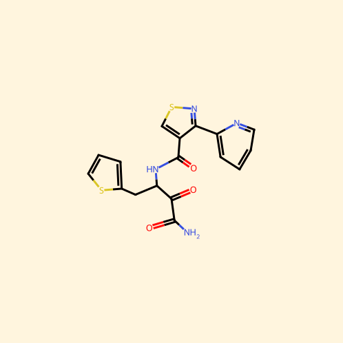 NC(=O)C(=O)C(Cc1cccs1)NC(=O)c1csnc1-c1ccccn1